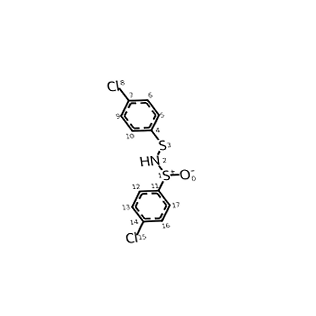 [O-][S+](NSc1ccc(Cl)cc1)c1ccc(Cl)cc1